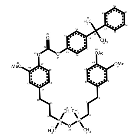 COc1cc(CCC[Si](C)(C)O[Si](C)(C)CCCc2ccc(OC(=O)Oc3ccc(C(C)(C)c4ccccc4)cc3)c(OC)c2)ccc1OC(C)=O